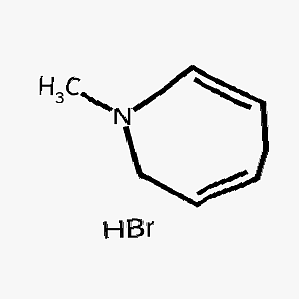 Br.CN1C=CC=CC1